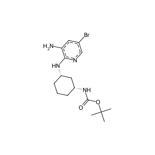 CC(C)(C)OC(=O)N[C@@H]1CCC[C@H](Nc2ncc(Br)cc2N)C1